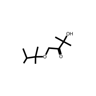 CC(C)C(C)(C)OCC(=O)C(C)(C)O